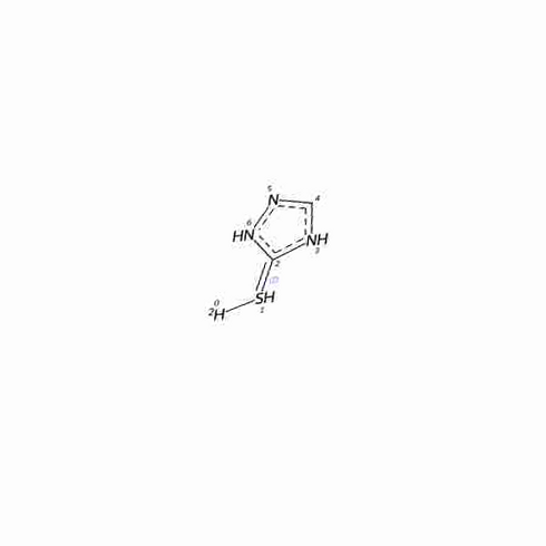 [2H]/[SH]=c1/[nH]cn[nH]1